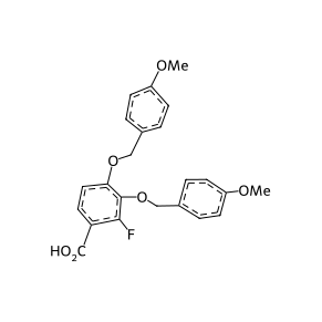 COc1ccc(COc2ccc(C(=O)O)c(F)c2OCc2ccc(OC)cc2)cc1